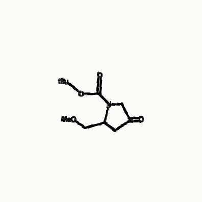 COCC1CC(=O)CN1C(=O)OC(C)(C)C